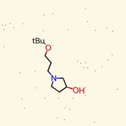 CC(C)(C)OCCCN1CC[C@H](O)C1